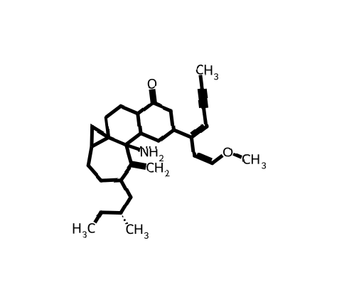 C=C1C(C[C@H](C)CC)CCC2CC23CCC2C(=O)CC(C(/C=C\OC)=C\C#CC)CC2C13N